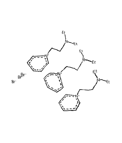 CCN(CC)CC[n+]1ccccc1.CCN(CC)CC[n+]1ccccc1.CCN(CC)CC[n+]1ccccc1.[Br-].[Br-].[Br-]